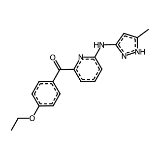 CCOc1ccc(C(=O)c2cccc(Nc3cc(C)[nH]n3)n2)cc1